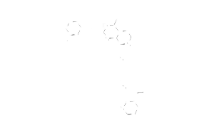 O=C1CN(CCCNCc2nccc3c(=O)[nH]c(COc4ccc(F)c(Cl)c4)nc23)Cc2ncccc21